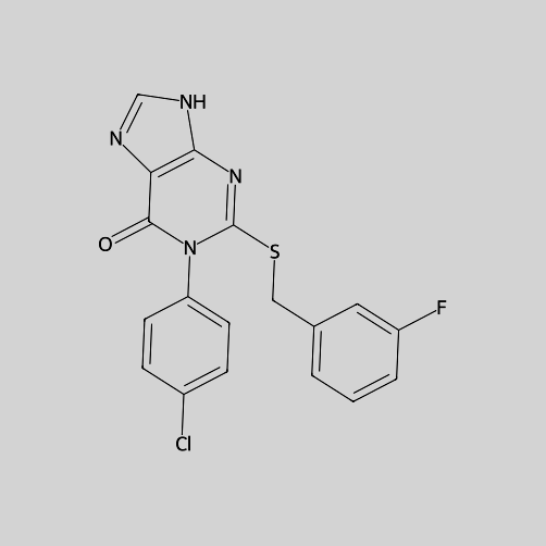 O=c1c2nc[nH]c2nc(SCc2cccc(F)c2)n1-c1ccc(Cl)cc1